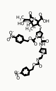 C[C@@H](O)[C@H]1C(=O)N2C(C(=O)O)=C(S[C@H]3C[C@@H](C(=O)N[C@@H]4CCN(C=NC(=O)OCc5ccc([N+](=O)[O-])cc5)C4)N(C(=O)OCc4ccc([N+](=O)[O-])cc4)C3)[C@H](C)[C@H]12